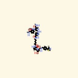 CNC(=O)c1cnc(Nc2ccc(C(=O)NCCCCCC(=O)N[C@H](C(=O)N3C[C@H](O)C[C@H]3C(=O)NCc3ccc(-c4scnc4C)cc3)C(C)(C)C)cn2)cc1Nc1cccc(C(=O)NC)c1OC